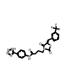 O=C(CCCN1C(=O)S/C(=C\c2cccc(C(F)(F)F)c2)C1=O)Nc1ccc(-c2nnn[nH]2)cc1